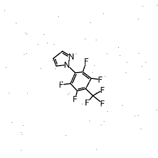 Fc1c(F)c(C(F)(F)F)c(F)c(F)c1-n1cccn1